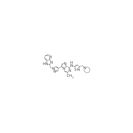 Cc1cn2c(-c3cnn(Cc4nc5ncccc5[nH]4)c3)cnc2c(Nc2cc(CN3CCCCC3)ns2)n1